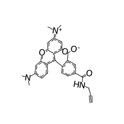 C#CCNC(=O)c1ccc(-c2c3ccc(=[N+](C)C)cc-3oc3cc(N(C)C)ccc23)c(C(=O)[O-])c1